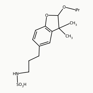 CC(C)OC1Oc2ccc(CCCNS(=O)(=O)O)cc2C1(C)C